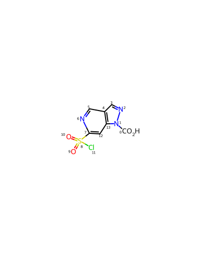 O=C(O)n1ncc2cnc(S(=O)(=O)Cl)cc21